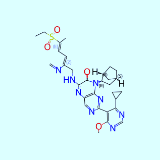 C=N/C(=C\C=C(/C)S(=O)(=O)CC)CNc1nc2cnc(-c3c(OC)ncnc3C3CC3)nc2n([C@@H]2C[C@H]3CC[C@@H]2C3)c1=O